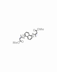 COC(=O)/C=C(/C)Nc1cccc2c(N/C(C)=C\C(=O)OC)cccc12